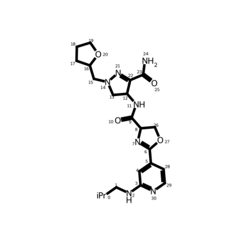 CC(C)CNc1cc(C2=NC(C(=O)NC3CN(CC4CCCO4)N=C3C(N)=O)CO2)ccn1